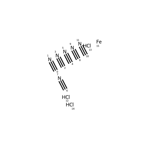 C#N.C#N.C#N.C#N.C#N.C#N.Cl.Cl.Cl.[Fe]